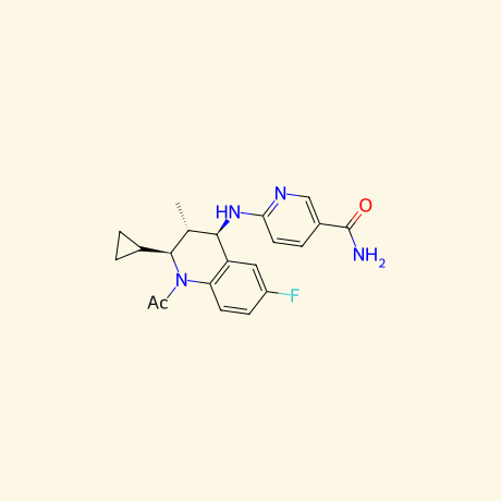 CC(=O)N1c2ccc(F)cc2[C@H](Nc2ccc(C(N)=O)cn2)[C@@H](C)[C@@H]1C1CC1